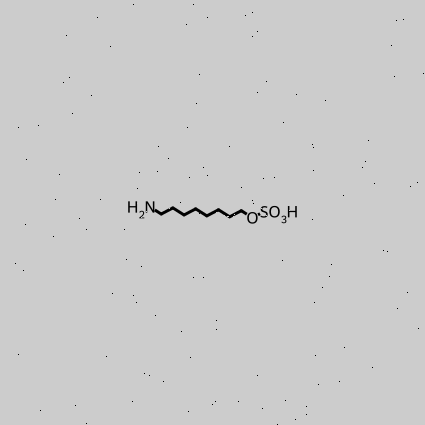 NCCCCCCCCOS(=O)(=O)O